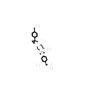 C#Cc1ccc(C2(C(=O)N3CCN(S(=O)(=O)c4ccc(C(C)(O)C(F)(F)F)cc4)C(C)C3)CC2)cc1